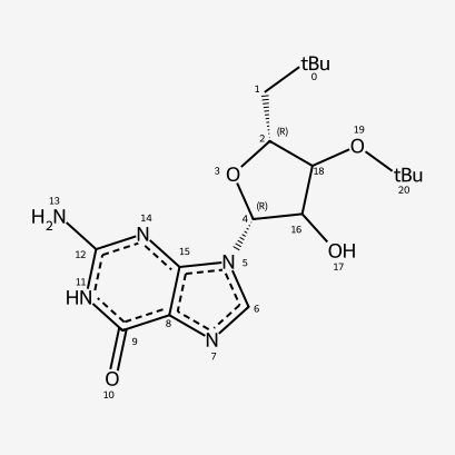 CC(C)(C)C[C@H]1O[C@@H](n2cnc3c(=O)[nH]c(N)nc32)C(O)C1OC(C)(C)C